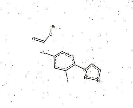 CC(C)(C)OC(=O)Nc1cnc(-n2ccnn2)c(F)c1